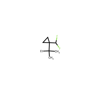 CCC(C)(C)C1(C(F)F)CC1